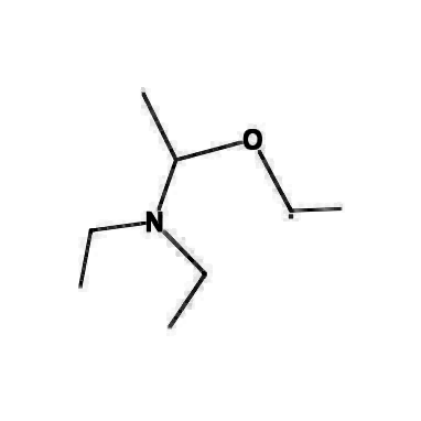 C[CH]OC(C)N(CC)CC